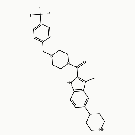 Cc1c(C(=O)N2CCN(Cc3ccc(C(F)(F)F)cc3)CC2)[nH]c2ccc(C3CCNCC3)cc12